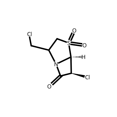 O=C1[C@H](Cl)[C@H]2N1C(CCl)CS2(=O)=O